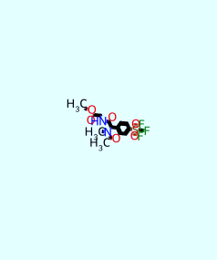 CCOC(=O)CNC(=O)C(c1ccc(S(=O)(=O)C(F)(F)F)cc1)N(C)C(C)=O